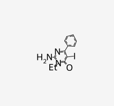 CCn1c(N)nc(-c2ccccc2)c(I)c1=O